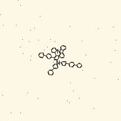 c1ccc(-c2ccc(-c3ccc(N(c4ccc(-c5ccccc5)cc4)c4ccc(-c5ccccc5-n5c6ccccc6c6ccccc65)c(-c5ccc(-c6ccccc6)cc5)c4)cc3)cc2)cc1